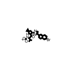 COC(=O)N[C@H](C(=O)C1CC2(CC2)C[C@H]1c1ncc(-c2ccc3cc(Br)ccc3c2)[nH]1)C(C)C